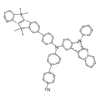 CC1(C)C2=C(c3ccccc31)C(C)(C)c1cc(-c3ccc(N(c4ccc(-c5ccc(C#N)cc5)cc4)c4ccc5c(c4)c4cc6ccccc6cc4n5-c4ccccc4)cc3)ccc12